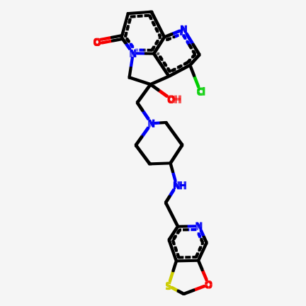 O=c1ccc2ncc(Cl)c3c2n1CC3(O)CN1CCC(NCc2cc3c(cn2)OCS3)CC1